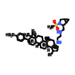 CC(C)[C@@H]1CC[C@]2(NCCNC[C@@H]3C4CC4CN3S(C)(=O)=O)CC[C@]3(C)[C@H](CC[C@@H]4[C@@]5(C)CC=C(c6ccc(C(=O)O)cc6)C(C)(C)[C@@H]5CC[C@]43C)[C@@H]12